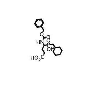 O=C(O)CCC(NC(=O)OCc1ccccc1)P(=O)(O)CC1CCCCC1